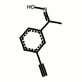 C#Cc1cccc(/C(C)=N\O)c1